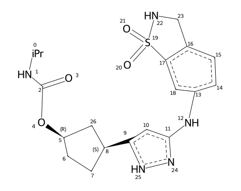 CC(C)NC(=O)O[C@@H]1CC[C@H](c2cc(Nc3ccc4c(c3)S(=O)(=O)NC4)n[nH]2)C1